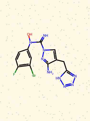 N=C(N(O)c1ccc(F)c(Br)c1)n1cc(Cc2nnn[nH]2)c(N)n1